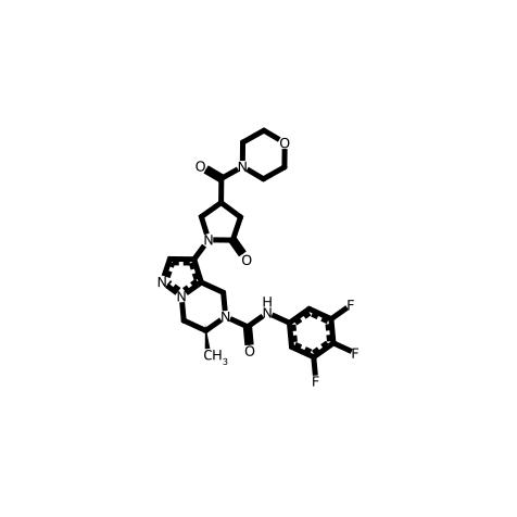 C[C@H]1Cn2ncc(N3CC(C(=O)N4CCOCC4)CC3=O)c2CN1C(=O)Nc1cc(F)c(F)c(F)c1